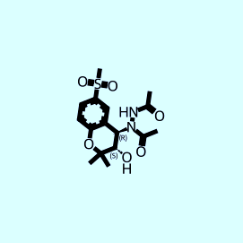 CC(=O)NN(C(C)=O)[C@@H]1c2cc(S(C)(=O)=O)ccc2OC(C)(C)[C@H]1O